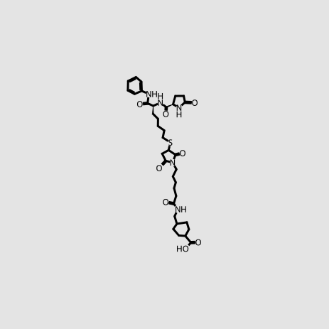 O=C(CCCCCN1C(=O)CC(SCCCCC[C@H](NC(=O)[C@H]2CCC(=O)N2)C(=O)Nc2ccccc2)C1=O)NCC1CCC(C(=O)O)CC1